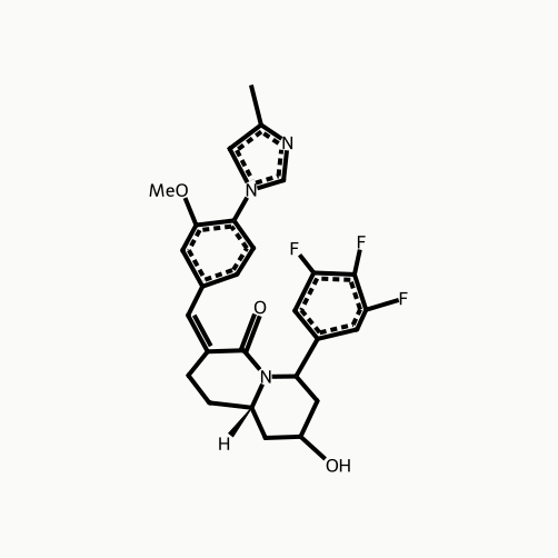 COc1cc(/C=C2/CC[C@H]3CC(O)CC(c4cc(F)c(F)c(F)c4)N3C2=O)ccc1-n1cnc(C)c1